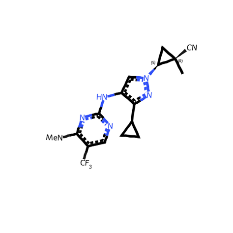 CNc1nc(Nc2cn([C@H]3C[C@@]3(C)C#N)nc2C2CC2)ncc1C(F)(F)F